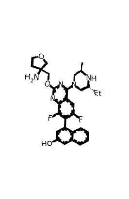 CC[C@@H]1CN(c2nc(OCC3(N)CCOC3)nc3c(F)c(-c4cc(O)cc5ccccc45)c(F)cc23)C[C@@H](C)N1